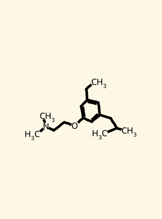 CCc1cc(CC(C)C)cc(OCCN(C)C)c1